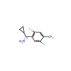 N[C@@H](c1cc(F)c(C(F)(F)F)cc1F)C1CC1